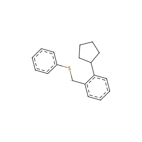 [CH](Sc1ccccc1)c1ccccc1C1CCCC1